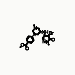 COC(=O)c1ccc([C@H]2C[C@@H](Nc3cnn(C)c(=O)c3Br)CN(C)C2)cc1